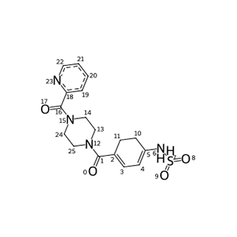 O=C(C1=CC=C(N[SH](=O)=O)CC1)N1CCN(C(=O)c2ccccn2)CC1